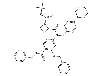 CC(C)(C)OC(=O)N1CC[C@@H]1C(=O)N(Cc1ccc(C2CCCCC2)cc1)c1ccc(C(=O)OCc2ccccc2)c(OCc2ccccc2)c1